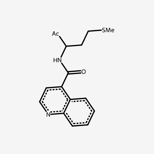 CSCCC(NC(=O)c1ccnc2ccccc12)C(C)=O